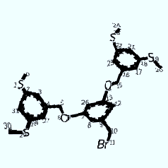 CSc1cc(COc2cc(CBr)cc(OCc3cc(SC)cc(SC)c3)c2)cc(SC)c1